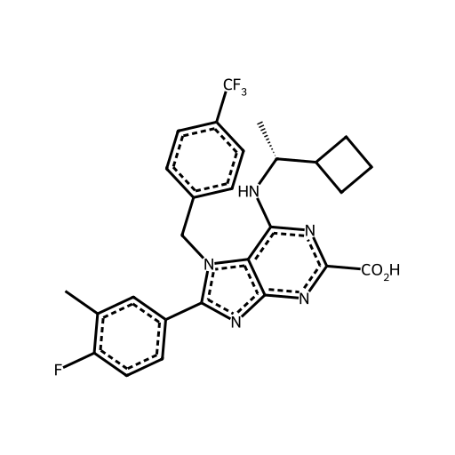 Cc1cc(-c2nc3nc(C(=O)O)nc(N[C@H](C)C4CCC4)c3n2Cc2ccc(C(F)(F)F)cc2)ccc1F